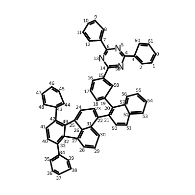 c1ccc(-c2nc(-c3ccccc3)nc(-c3cccc(-c4c(-c5ccc6c7c(cccc57)-c5c(-c7ccccc7)ccc(-c7ccccc7)c5-6)ccc5ccccc45)c3)n2)cc1